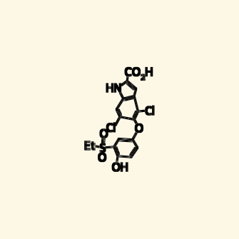 CCS(=O)(=O)c1cc(Oc2c(Cl)cc3[nH]c(C(=O)O)cc3c2Cl)ccc1O